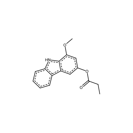 CCC(=O)Oc1cc(OC)c2[nH]c3ccccc3c2c1